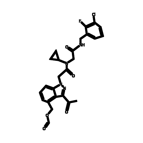 CC(=O)c1nn(CC(=O)N(CC(=O)NCc2cccc(Cl)c2F)C2CC2)c2cccc(COC=O)c12